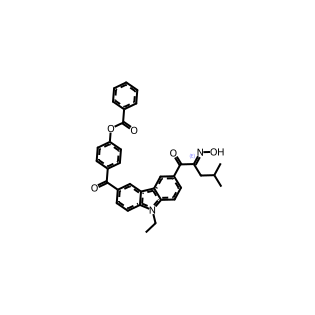 CCn1c2ccc(C(=O)/C(CC(C)C)=N/O)cc2c2cc(C(=O)c3ccc(OC(=O)c4ccccc4)cc3)ccc21